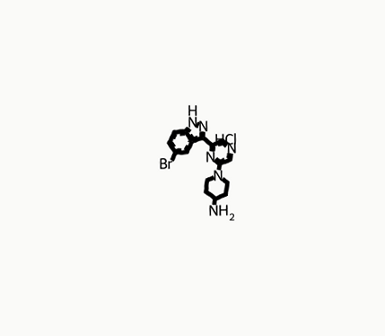 Cl.NC1CCN(c2cncc(-c3n[nH]c4ccc(Br)cc34)n2)CC1